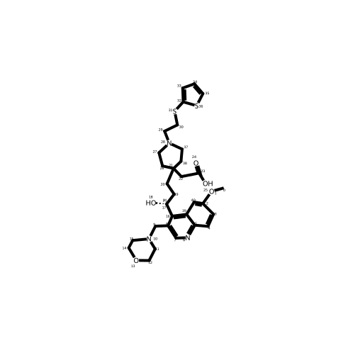 COc1ccc2ncc(CN3CCOCC3)c([C@H](O)CCC3(CC(=O)O)CCN(CCSc4cccs4)CC3)c2c1